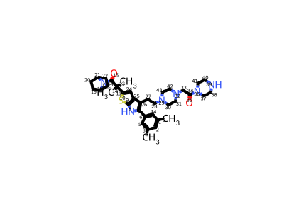 Cc1cc(C)cc(-c2[nH]c3sc(C(C)(C)C(=O)N4C5CCC4CC5)cc3c2CCN2CCN(CC(=O)N3CCNCC3)CC2)c1